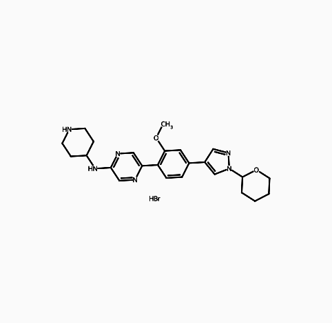 Br.COc1cc(-c2cnn(C3CCCCO3)c2)ccc1-c1cnc(NC2CCNCC2)cn1